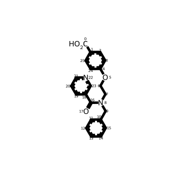 O=C(O)c1ccc(OCCN(Cc2ccccc2)C(=O)c2cccnc2)cc1